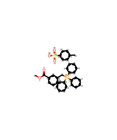 COC(=O)c1cccc(C[P+](c2ccccc2)(c2ccccc2)c2ccccc2)c1.Cc1ccc(S(=O)(=O)[O-])cc1